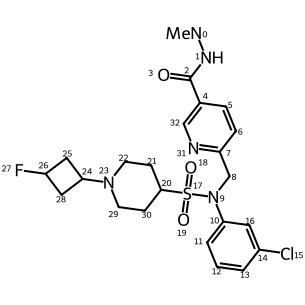 CNNC(=O)c1ccc(CN(c2cccc(Cl)c2)S(=O)(=O)C2CCN(C3CC(F)C3)CC2)nc1